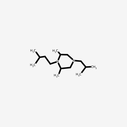 CC(C)CCN1C(C)CN(CC(C)C)CC1C